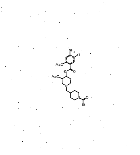 CCC(=O)N1CCC(CN2CCC(NC(=O)c3cc(Cl)c(N)cc3OC)C(OC)C2)CC1